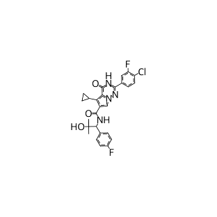 CC(C)(O)C(NC(=O)c1cn2nc(-c3ccc(Cl)c(F)c3)[nH]c(=O)c2c1C1CC1)c1ccc(F)cc1